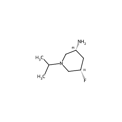 CC(C)N1C[C@H](N)C[C@H](F)C1